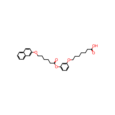 O=C(O)CCCCCCOc1cccc(OC(=O)CCCCCOc2ccc3ccccc3c2)c1